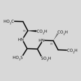 O=C(O)C[C@H](NC(C(N[C@@H](CC(=O)O)C(=O)O)S(=O)(=O)O)S(=O)(=O)O)C(=O)O